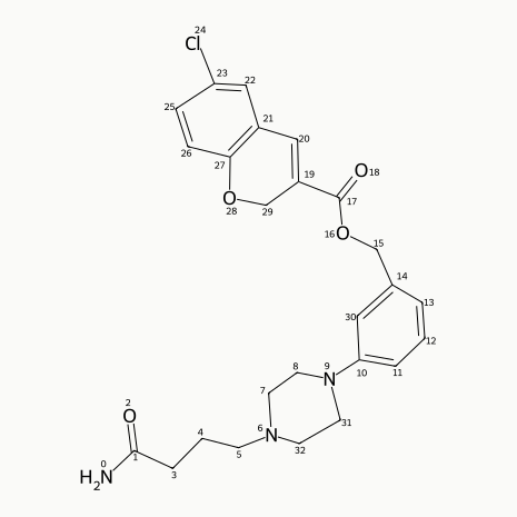 NC(=O)CCCN1CCN(c2cccc(COC(=O)C3=Cc4cc(Cl)ccc4OC3)c2)CC1